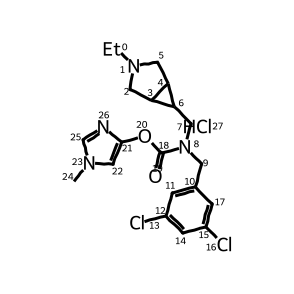 CCN1CC2C(C1)C2CN(Cc1cc(Cl)cc(Cl)c1)C(=O)Oc1cn(C)cn1.Cl